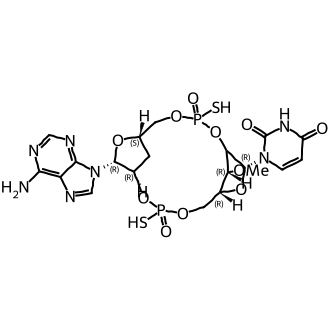 CO[C@H]1C2OP(=O)(S)OC[C@@H]3C[C@@H](OP(=O)(S)OC[C@H]1O[C@H]2n1ccc(=O)[nH]c1=O)[C@H](n1cnc2c(N)ncnc21)O3